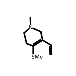 C=CC1=C(SC)CCN(C)C1